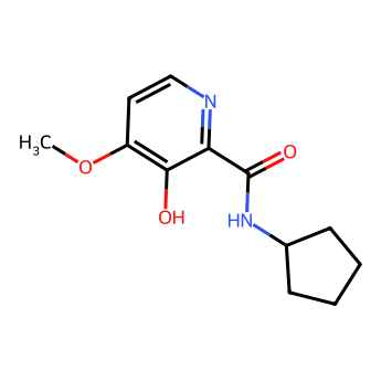 COc1ccnc(C(=O)NC2CCCC2)c1O